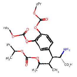 CCCOC(=O)Oc1ccc(C(C(C)C(C)OC(=O)OC(C)C(C)C)[C@H](N)C(=O)O)cc1OC(=O)OCCC